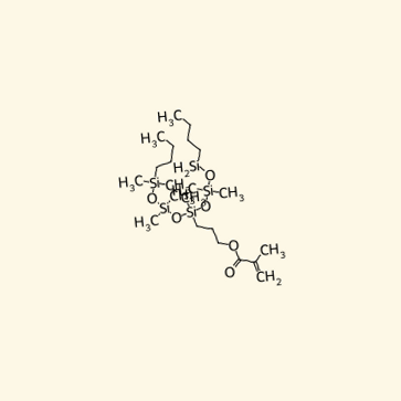 C=C(C)C(=O)OCCC[Si](C)(O[Si](C)(C)O[SiH2]CCCC)O[Si](C)(C)O[Si](C)(C)CCCC